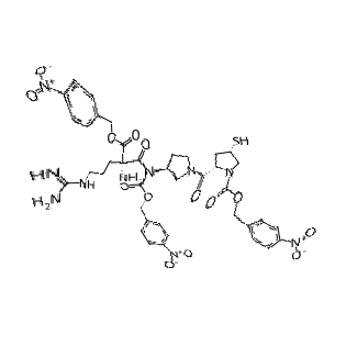 N=C(N)NCCC[C@@](N)(C(=O)OCc1ccc([N+](=O)[O-])cc1)C(=O)N(C(=O)OCc1ccc([N+](=O)[O-])cc1)[C@H]1CCN(C(=O)[C@@H]2C[C@H](S)CN2C(=O)OCc2ccc([N+](=O)[O-])cc2)C1